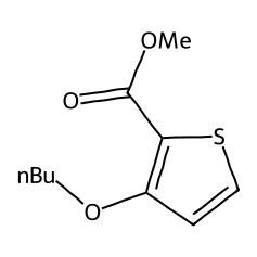 CCCCOc1ccsc1C(=O)OC